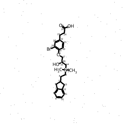 C[N+](C)(CCC1Cc2ccccc2C1)C[C@@H](O)COc1ccc(CCC(=O)O)cc1Br